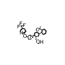 CC(=O)c1ccccc1-c1ccc(N2CCC(Oc3ccc(C(F)(F)F)cn3)C2)c(CO)c1